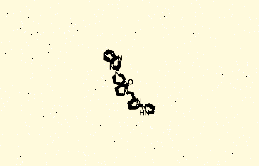 O=C1N(Cc2cccc(N3C=CCN3)n2)CCCC12CCN(c1cnc3ccccc3n1)CC2